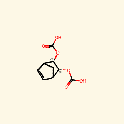 O=C(O)O[C@@H]1C2C=CC(C2)[C@H]1OC(=O)O